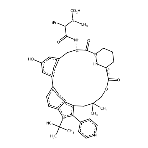 CC(C)C(C(=O)N[C@H]1Cc2cc(O)cc(c2)-c2ccc3c(c2)c(c(-c2ccncc2)n3C(C)(C)C#N)CC(C)(C)COC(=O)[C@@H]2CCCN(N2)C1=O)N(C)C(=O)O